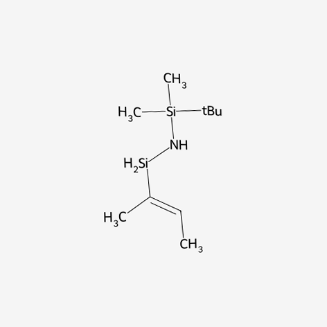 CC=C(C)[SiH2]N[Si](C)(C)C(C)(C)C